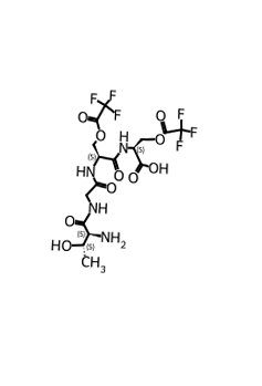 C[C@H](O)[C@H](N)C(=O)NCC(=O)N[C@@H](COC(=O)C(F)(F)F)C(=O)N[C@@H](COC(=O)C(F)(F)F)C(=O)O